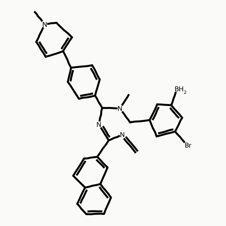 Bc1cc(Br)cc(CN(C)C(/N=C(\N=C)c2ccc3ccccc3c2)c2ccc(C3=CCN(C)C=C3)cc2)c1